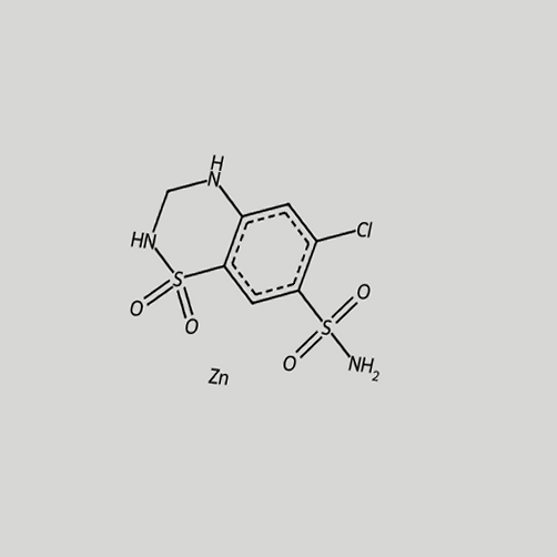 NS(=O)(=O)c1cc2c(cc1Cl)NCNS2(=O)=O.[Zn]